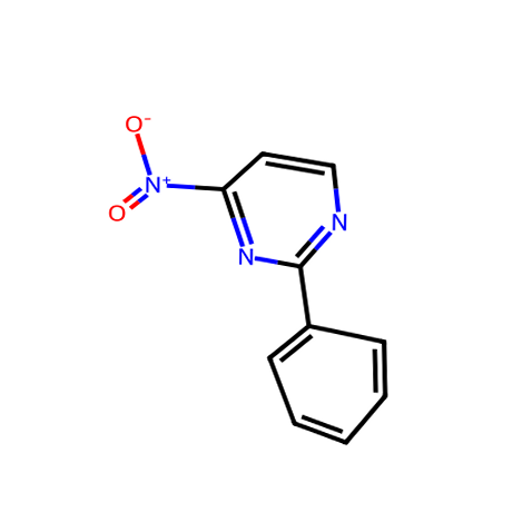 O=[N+]([O-])c1ccnc(-c2ccccc2)n1